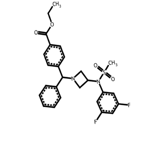 CCOC(=O)c1ccc(C(c2ccccc2)N2CC(N(c3cc(F)cc(F)c3)S(C)(=O)=O)C2)cc1